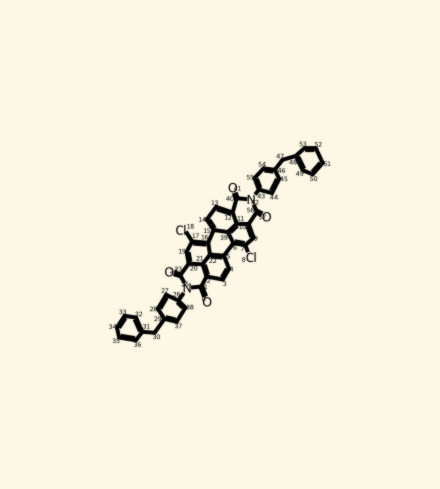 O=C1c2ccc3c4c(Cl)cc5c6c(ccc(c7c(Cl)cc(c2c37)C(=O)N1c1ccc(Cc2ccccc2)cc1)c64)C(=O)N(c1ccc(Cc2ccccc2)cc1)C5=O